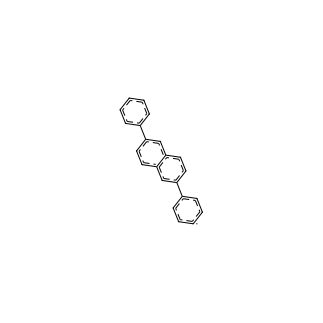 [c]1ccc(-c2ccc3cc(-c4ccccc4)ccc3c2)cc1